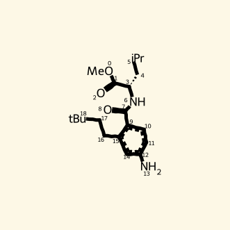 COC(=O)[C@H](CC(C)C)NC(=O)c1ccc(N)cc1CCC(C)(C)C